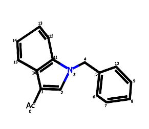 CC(=O)c1cn(Cc2ccccc2)c2[c]cccc12